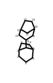 [CH]1CC2CCC(C1)C2C1CC2[CH]C(CC2)C1